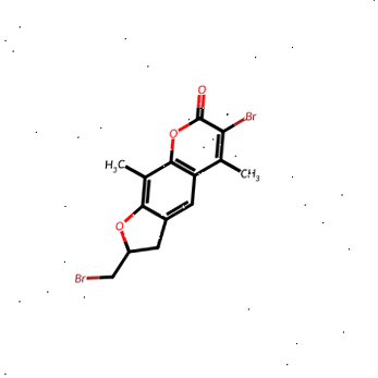 Cc1c(Br)c(=O)oc2c(C)c3c(cc12)CC(CBr)O3